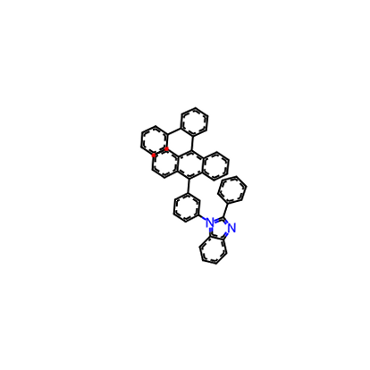 c1ccc(-c2ccccc2-c2c3ccccc3c(-c3cccc(-n4c(-c5ccccc5)nc5ccccc54)c3)c3ccccc23)cc1